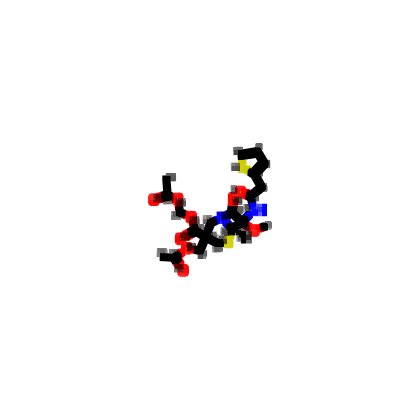 COC1(NC(=O)Cc2cccs2)C(=O)N2CC(COC(C)=O)(C(=O)OCOC(C)=O)CS[C@@H]21